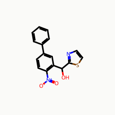 O=[N+]([O-])c1ccc(-c2ccccc2)cc1C(O)c1nccs1